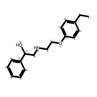 [CH2]Cc1ccc(OCCNCC(O)c2ccccc2)cc1